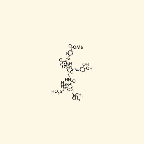 COC(=O)c1ccc(SC[C@H](NC(=O)[C@H](CCCCNC(=O)[C@H](CSCCN(C)C)NC(=O)[C@@H](N)CS(=O)(=O)O)NC(=O)/C=C/c2ccc(O)c(O)c2)C(=O)OC)nc1